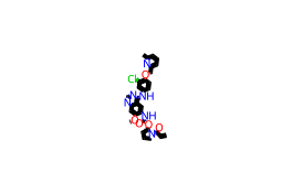 C=CC(=O)N1CCC[C@@H]1OC(=O)Nc1cc2c(Nc3ccc(OCc4cccc(C)n4)c(Cl)c3)ncnc2cc1OC